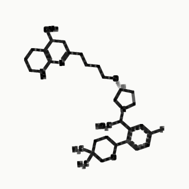 COC1CC(CCCCO[C@@H]2CCN(C(C(=O)O)c3cc(F)ccc3C3CCC(C)(C)CO3)C2)=NC2=C1CCCN2